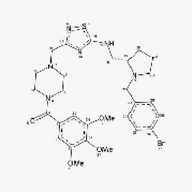 COc1cc(C(=O)N2CCN(Cc3nsc(NC[C@@H]4CCCN4Cc4ccc(Br)cc4)n3)CC2)cc(OC)c1OC